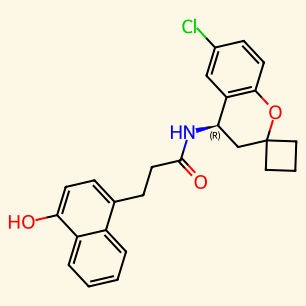 O=C(CCc1ccc(O)c2ccccc12)N[C@@H]1CC2(CCC2)Oc2ccc(Cl)cc21